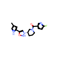 Cc1c[nH]c(C2=CN([C@H]3CCCN(C(=O)c4ccc(F)nc4)C3)NO2)c1